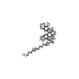 COc1cc(C2c3cc4c(cc3[C@@H](NS(=O)(=O)CCNCCCCNCCCCN)[C@H]3COC(=O)[C@H]23)OCO4)cc(OC)c1O